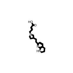 O=C(O)C=CCN1CCC(CCc2ccc3c(n2)NCCC3)C1